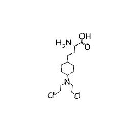 N[C@@H](CCC1CCC(N(CCCl)CCCl)CC1)C(=O)O